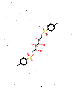 Cc1ccc(S(=O)(=O)OC[C@@H](O)[C@H](O)[C@@H](O)[C@H](O)COS(=O)(=O)c2ccc(C)cc2)cc1